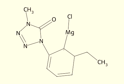 CCC1C=CC=C(n2nnn(C)c2=O)[C]1[Mg][Cl]